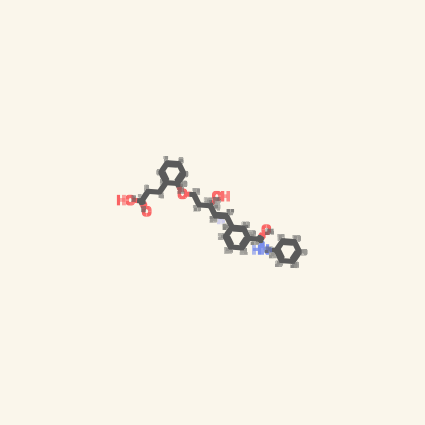 O=C(O)CCc1ccccc1OCC[C@@H](O)/C=C/c1cccc(C(=O)Nc2ccccc2)c1